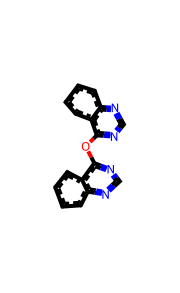 c1ccc2c(Oc3ncnc4ccccc34)ncnc2c1